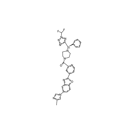 Cc1cn(-c2ccc3oc(-c4ccnc(C(=O)N5CCN([C@H](c6ccccc6)c6nnn(C(F)F)n6)CC5)c4)nc3c2)cn1